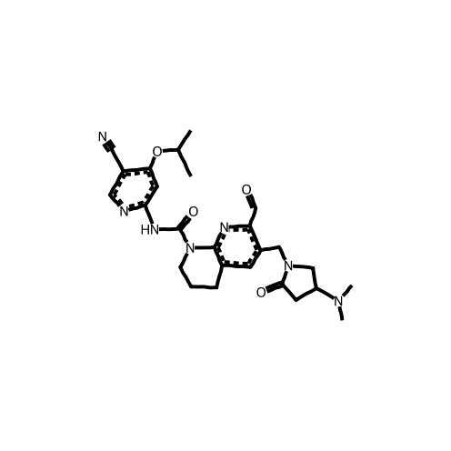 CC(C)Oc1cc(NC(=O)N2CCCc3cc(CN4CC(N(C)C)CC4=O)c(C=O)nc32)ncc1C#N